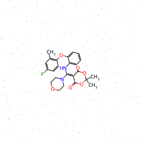 Cc1cc(F)ccc1Oc1ccccc1NC(=C1C(=O)OC(C)(C)OC1=O)N1CCOCC1